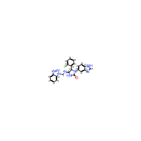 O=C1N/C(=N\Cn2nnc3ccccc32)C(c2ccccc2F)N1c1ccc2[nH]cnc2c1